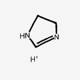 C1=NCCN1.[H+]